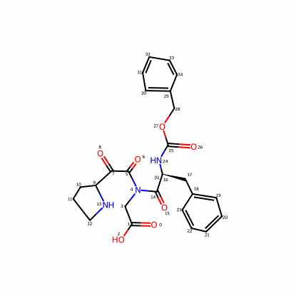 O=C(O)CN(C(=O)C(=O)C1CCCN1)C(=O)[C@H](Cc1ccccc1)NC(=O)OCc1ccccc1